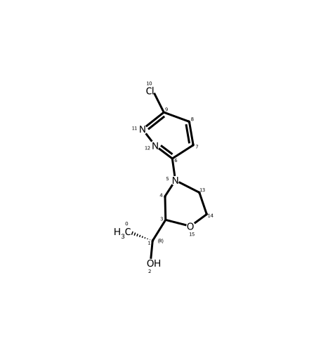 C[C@@H](O)C1CN(c2ccc(Cl)nn2)CCO1